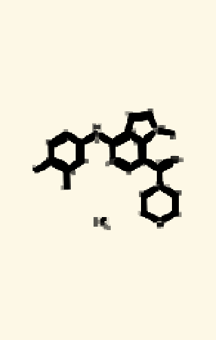 Cc1ccc(Nc2ncc(C(=O)N3CCOCC3)c3c2ccn3C)cc1C.Cl